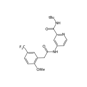 COc1ccc(C(F)(F)F)cc1CC(=O)Nc1ccnc(C(=O)NC(C)(C)C)c1